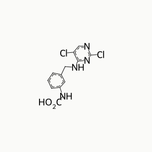 O=C(O)Nc1cccc(CNc2nc(Cl)ncc2Cl)c1